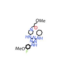 COCCC(=O)CN1CCC(Nc2nc(Nc3ccc(OC)c(F)c3)nc(NC3CCCCCC3)n2)CC1